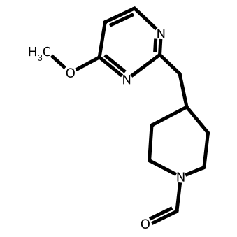 COc1ccnc(CC2CCN(C=O)CC2)n1